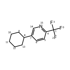 FC(F)(F)c1ccc(C2CCCCC2)cn1